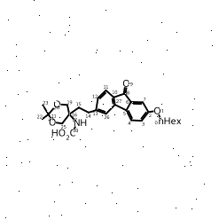 CCCCCCOc1ccc2c(c1)C(=O)c1ccc(CCC3(NC(=O)O)COC(C)(C)OC3)cc1-2